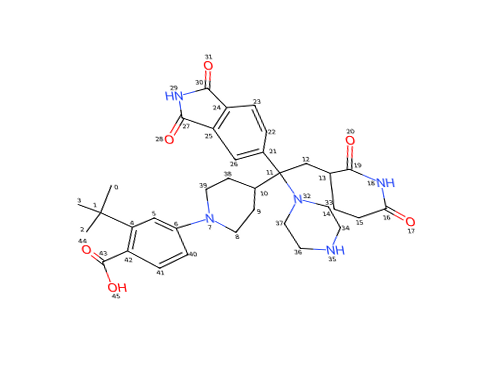 CC(C)(C)c1cc(N2CCC(C(CC3CCC(=O)NC3=O)(c3ccc4c(c3)C(=O)NC4=O)N3CCNCC3)CC2)ccc1C(=O)O